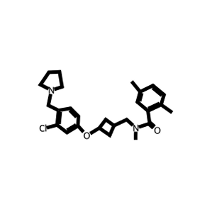 Cc1ccc(C)c(C(=O)N(C)CC2CC(Oc3ccc(CN4CCCC4)c(Cl)c3)C2)c1